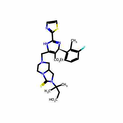 CCOC(=O)C1=C(CN2CCN3C(=S)N(C(C)(C)CC(=O)O)CC3C2)NC(c2nccs2)=N[C@H]1c1cccc(F)c1C